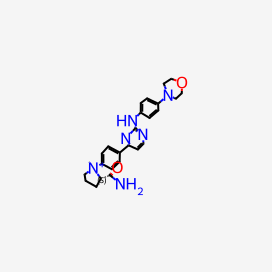 C[N+]1(c2ccc(-c3ccnc(Nc4ccc(N5CCOCC5)cc4)n3)cc2)CCC[C@H]1C(N)=O